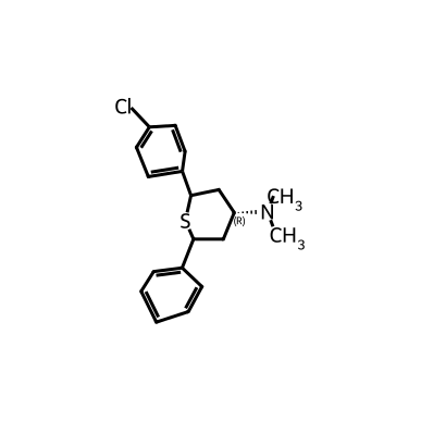 CN(C)[C@@H]1CC(c2ccccc2)SC(c2ccc(Cl)cc2)C1